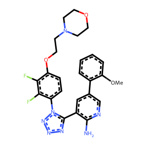 COc1ccccc1-c1cnc(N)c(-c2nnnn2-c2ccc(OCCN3CCOCC3)c(F)c2F)c1